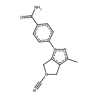 Cc1nn(-c2ccc(C(N)=O)cc2)c2c1CN(C#N)C2